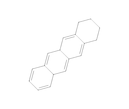 C1=CC2=CC3C=C4CCCCC4=CC3=CC2C=C1